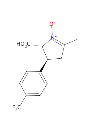 CC1=[N+]([O-])[C@@H](C(=O)O)[C@H](c2ccc(C(F)(F)F)cc2)C1